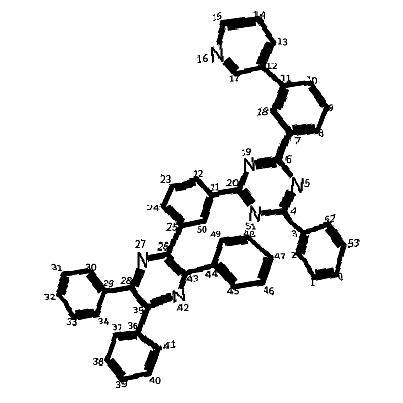 c1ccc(-c2nc(-c3cccc(-c4cccnc4)c3)nc(-c3cccc(-c4nc(-c5ccccc5)c(-c5ccccc5)nc4-c4ccccc4)c3)n2)cc1